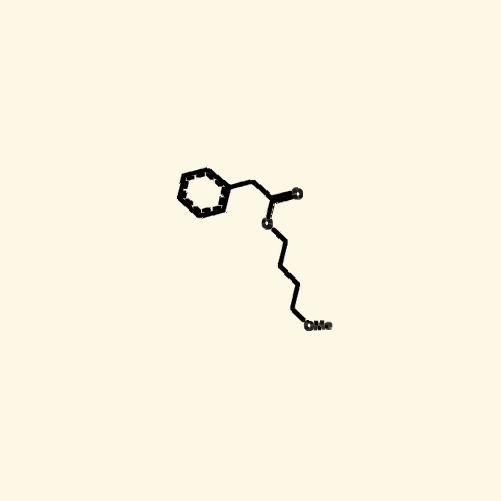 COCCCCOC(=O)Cc1ccccc1